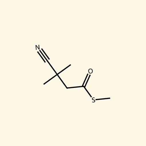 CSC(=O)CC(C)(C)C#N